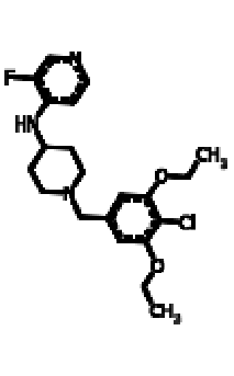 CCOc1cc(CN2CCC(Nc3ccncc3F)CC2)cc(OCC)c1Cl